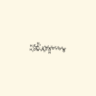 CC(=NCCN1CCN(CC(O)COCCCOCC2CO2)CC1)C(C)C